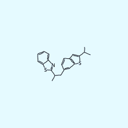 CC(C)c1cc2ccc(CC(C)c3nc4ccccc4s3)cc2s1